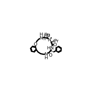 CCC(C)[C@@H]1NCCOc2ccccc2CCCNC(=O)[C@@H](Cc2ccccc2)NC(=O)[C@H](C(C)C)N(C)C1=O